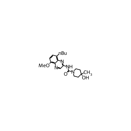 CCCCc1ccc(OC)c2ncc(NC(=O)N3CCC(C)(O)CC3)nc12